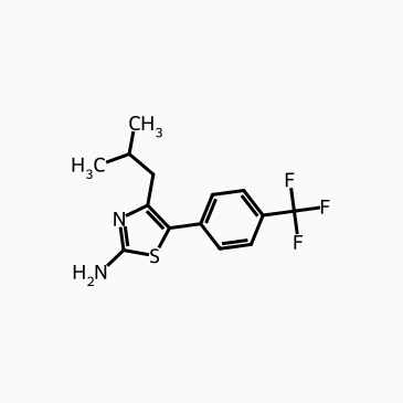 CC(C)Cc1nc(N)sc1-c1ccc(C(F)(F)F)cc1